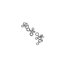 CC(=O)N1CCc2cc(-n3c(=O)n(C[C@H]4CC[C@H](NC(=O)c5cc(Cl)cnc5C)CC4)c4ccccc43)ccc2C1